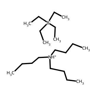 CCCC[NH+](CCCC)CCCC.CC[B-](CC)(CC)CC